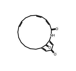 O=C1C=C2CCCCCCC=CCCC=CC=CC(=O)NC(=C1)C2=O